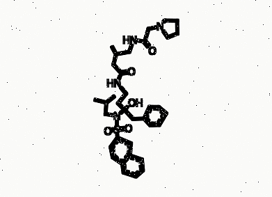 CC(C)CN(C(O)(CCNC(=O)CC(C)CNC(=O)CN1CCCC1)Cc1ccccc1)S(=O)(=O)c1ccc2ccccc2c1